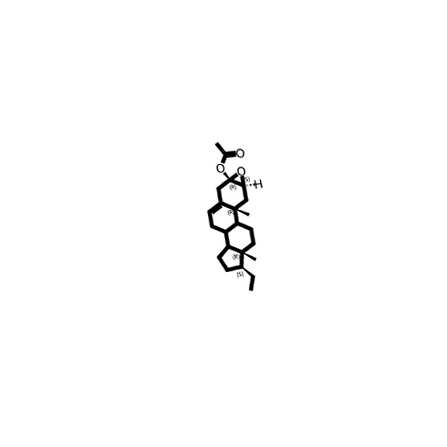 CC[C@H]1CCC2C3CC=C4C[C@]5(OC(C)=O)O[C@H]5C[C@]4(C)C3CC[C@@]21C